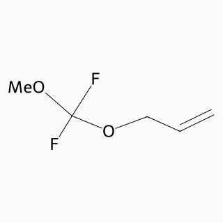 C=CCOC(F)(F)OC